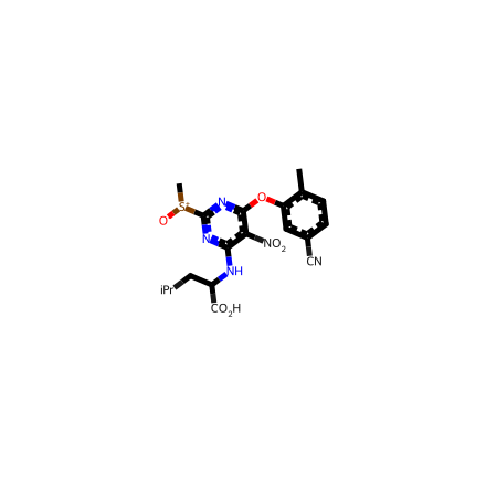 Cc1ccc(C#N)cc1Oc1nc([S+](C)[O-])nc(NC(CC(C)C)C(=O)O)c1[N+](=O)[O-]